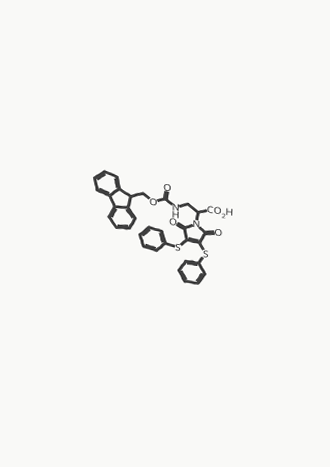 O=C(NCC(C(=O)O)N1C(=O)C(Sc2ccccc2)=C(Sc2ccccc2)C1=O)OCC1c2ccccc2-c2ccccc21